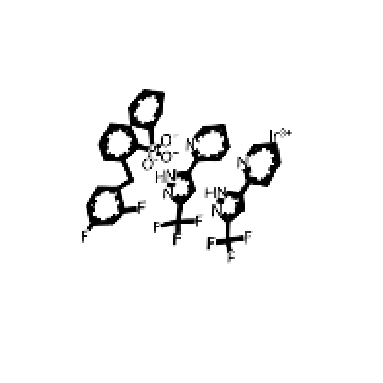 FC(F)(F)c1cc(-c2ccccn2)[nH]n1.FC(F)(F)c1cc(-c2ccccn2)[nH]n1.[Ir+3].[O-]P([O-])([O-])(c1ccccc1)c1ccccc1Cc1ccc(F)cc1F